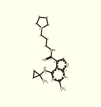 Cc1nc(NC2(C)CC2)c2c(C(=O)NCCCN3CCCC3)coc2n1